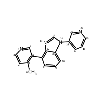 Cc1ccncc1-c1cccc2c1ncn2-c1cccnc1